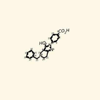 O=C(O)c1ccc(-n2nc3c(c2O)CN(Cc2ccccc2)CC3)cc1